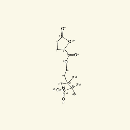 O=C1CCC(C(=O)OCCC(F)(F)C(F)(F)[SH](=O)=O)O1